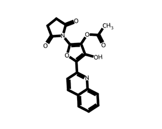 CC(=O)Oc1c(N2C(=O)CCC2=O)oc(-c2ccc3ccccc3n2)c1O